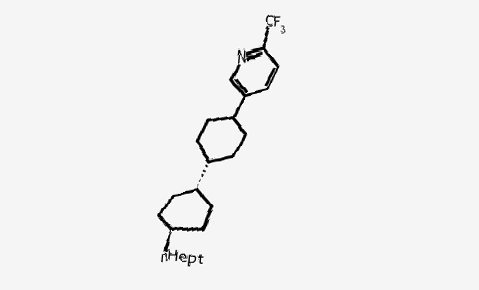 CCCCCCC[C@H]1CC[C@H](C2CCC(c3ccc(C(F)(F)F)nc3)CC2)CC1